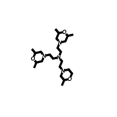 CC1CN(CCN(CCN2CC(C)OC(C)C2)CCN2CC(C)OC(C)C2)CCO1